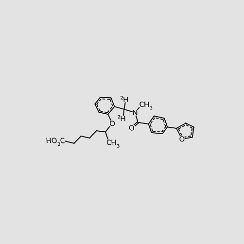 [2H]C([2H])(c1ccccc1OC(C)CCCCC(=O)O)N(C)C(=O)c1ccc(-c2ccco2)cc1